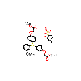 COc1cccc([S+](c2ccc(OCC(=O)OC(C)(C)C)cc2)c2ccc(OCC(=O)OC(C)(C)C)cc2)c1.Cc1ccc(S(=O)(=O)[O-])cc1